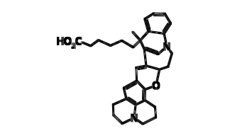 CC1(CCCCCC(=O)O)C2=CN(CCC3Oc4c(cc5c6c4CCCN6CCC5)C=C23)c2ccccc21